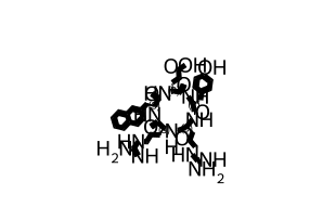 N=C(N)NCCC[C@@H]1NC(=O)[C@H](CCCNC(=N)N)NC(=O)[C@@H](Cc2ccc(O)cc2)NC(=O)[C@@H](CCC(=O)O)NC(=O)[C@H](Cc2ccc3ccccc3c2)NC1=O